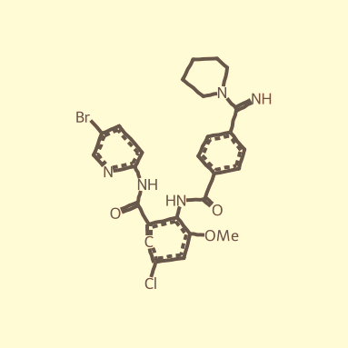 COc1cc(Cl)cc(C(=O)Nc2ccc(Br)cn2)c1NC(=O)c1ccc(C(=N)N2CCCCC2)cc1